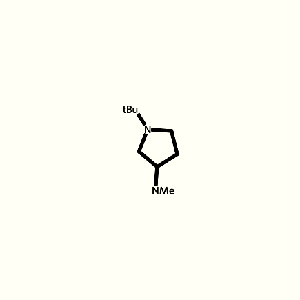 CNC1CCN(C(C)(C)C)C1